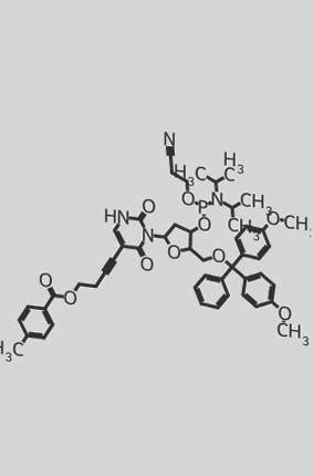 COc1ccc(C(OCC2OC(n3c(=O)[nH]cc(C#CCCOC(=O)c4ccc(C)cc4)c3=O)CC2OP(OCCC#N)N(C(C)C)C(C)C)(c2ccccc2)c2ccc(OC)cc2)cc1